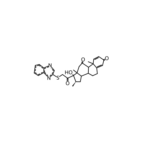 C[C@@H]1CC2C3CCC4=CC(=O)C=CC4(C)C3C(=O)CC2(C)[C@@]1(O)C(=O)CSc1cnc2ccccc2n1